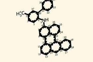 Cc1ccc(Nc2ccc3c4cccc5cc6ccccc6c(c6cccc2c36)c54)c(-c2ccccc2)c1